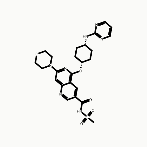 CS(=O)(=O)NC(=O)c1cnc2cc(N3CCOCC3)nc(O[C@H]3CC[C@@H](Nc4ncccn4)CC3)c2c1